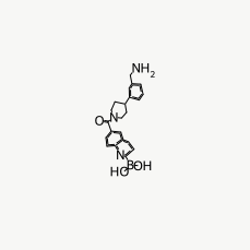 NCc1cccc(C2CCN(C(=O)c3ccc4nc(B(O)O)ccc4c3)CC2)c1